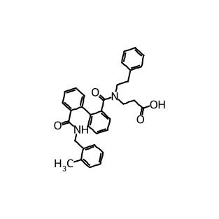 Cc1ccccc1CNC(=O)c1ccccc1-c1ccccc1C(=O)N(CCC(=O)O)CCc1ccccc1